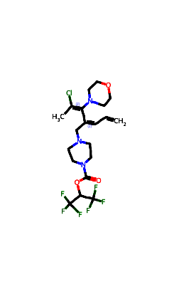 C=C/C=C(CN1CCN(C(=O)OC(C(F)(F)F)C(F)(F)F)CC1)\C(=C(/C)Cl)N1CCOCC1